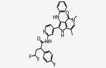 Cc1cn(C)c(=O)c2c(Nc3ccccc3)c(-c3ccnc(NC(=O)C(CC(F)F)c4ccc(F)cc4)c3)[nH]c12